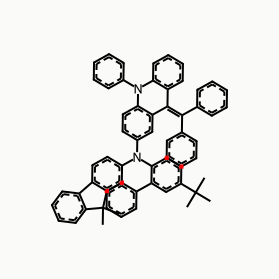 CC(C)(C)c1ccc(N(c2ccc3c(c2)C(=C(c2ccccc2)c2ccccc2)c2ccccc2N3c2ccccc2)c2ccc3c(c2)C(C)(C)c2ccccc2-3)c(-c2ccccc2)c1